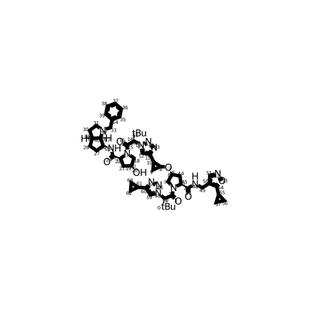 CC(C)(C)[C@@H](C(=O)N1C[C@H](OC2CC2c2cn([C@H](C(=O)N3C[C@H](O)C[C@H]3C(=O)N[C@@H]3CC[C@H]4CCN(Cc5ccccc5)[C@H]43)C(C)(C)C)nn2)C[C@H]1C(=O)NCc1cnoc1C1CC1)n1cc(C2CC2)nn1